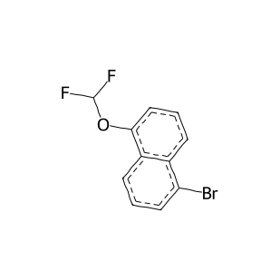 FC(F)Oc1cccc2c(Br)cccc12